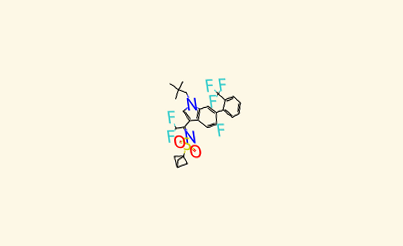 CC(C)(C)Cn1cc(C(=NS(=O)(=O)C23CC(C2)C3)C(F)F)c2cc(F)c(-c3ccccc3C(F)(F)F)cc21